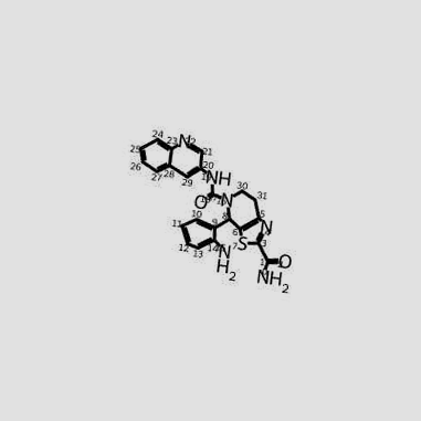 NC(=O)c1nc2c(s1)C(c1ccccc1N)N(C(=O)Nc1cnc3ccccc3c1)CC2